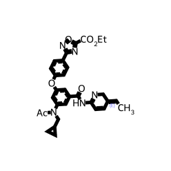 C/C=C1\C=CC(NC(=O)c2cc(Oc3ccc(-c4noc(C(=O)OCC)n4)cc3)cc(N(CC3CC3)C(C)=O)c2)=NC1